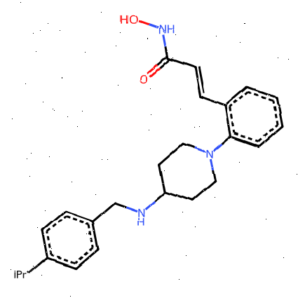 CC(C)c1ccc(CNC2CCN(c3ccccc3/C=C/C(=O)NO)CC2)cc1